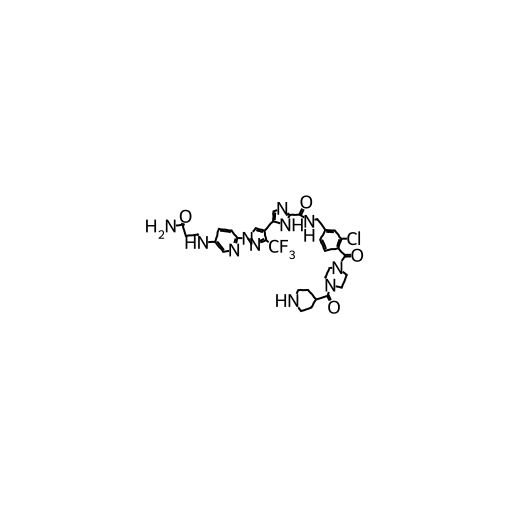 NC(=O)CCNc1ccc(-n2cc(-c3cnc(C(=O)NCc4ccc(C(=O)N5CCN(C(=O)C6CCNCC6)CC5)c(Cl)c4)[nH]3)c(C(F)(F)F)n2)nc1